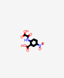 O=C(O)C(=O)Nc1ccc([N+](=O)[O-])cc1C(=O)O